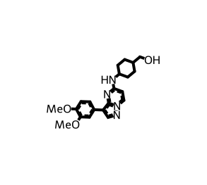 COc1ccc(-c2cnn3ccc(NC4CCC(CO)CC4)nc23)cc1OC